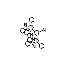 N#Cc1cc(-c2nc(-c3ccccc3)cc(-c3ccccc3)n2)c(-n2c3cc(C#N)ccc3c3ccc(C#N)cc32)c(-c2nc(-c3ccccc3)cc(-c3ccccc3)n2)c1